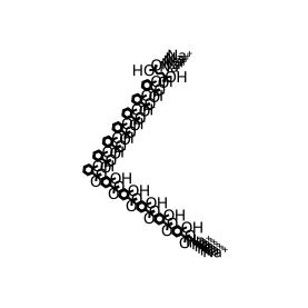 O=C(O)CCC(=O)O.O=C([O-])c1ccccc1O.O=C([O-])c1ccccc1O.O=C([O-])c1ccccc1O.O=C([O-])c1ccccc1O.O=C([O-])c1ccccc1O.O=C([O-])c1ccccc1O.O=C([O-])c1ccccc1O.O=C([O-])c1ccccc1O.O=C([O-])c1ccccc1O.O=C([O-])c1ccccc1O.O=C([O-])c1ccccc1O.O=C([O-])c1ccccc1O.[Na+].[Na+].[Na+].[Na+].[Na+].[Na+].[Na+].[Na+].[Na+].[Na+].[Na+].[Na+]